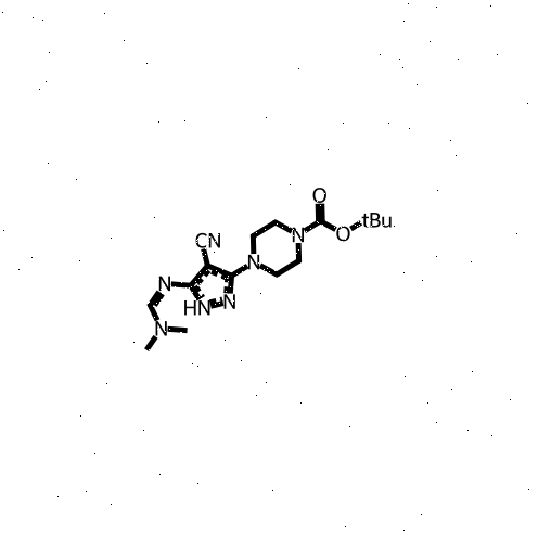 CN(C)/C=N\c1[nH]nc(N2CCN(C(=O)OC(C)(C)C)CC2)c1C#N